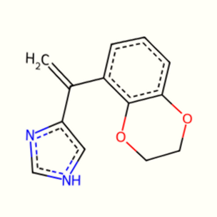 C=C(c1c[nH]cn1)c1cccc2c1OCCO2